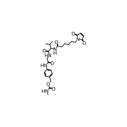 CNC(=O)OCc1ccc(NC(=O)CNC(=O)C(NC(=O)CCCCCN2C(=O)C=CC2=O)C(C)C)cc1